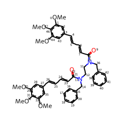 COc1cc(/C=C/C=C/C(=O)N(CCN(Cc2ccccc2)C(=O)/C=C/C=C/c2cc(OC)c(OC)c(OC)c2)Cc2ccccc2)cc(OC)c1OC